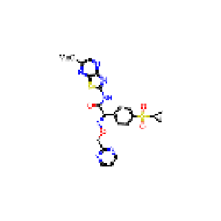 COc1cnc2nc(NC(=O)/C(=N/OCc3ncccn3)c3ccc(S(=O)(=O)C4CC4)cc3)sc2n1